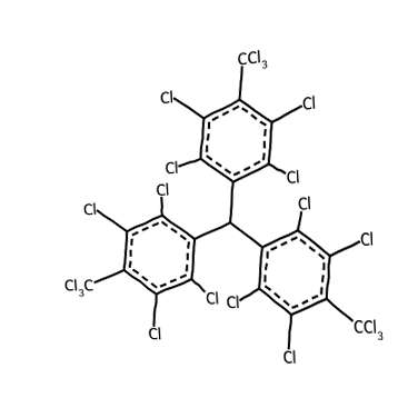 Clc1c(Cl)c(C(Cl)(Cl)Cl)c(Cl)c(Cl)c1C(c1c(Cl)c(Cl)c(C(Cl)(Cl)Cl)c(Cl)c1Cl)c1c(Cl)c(Cl)c(C(Cl)(Cl)Cl)c(Cl)c1Cl